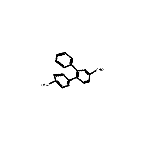 O=Cc1ccc(-c2ccc(C=O)cc2-c2ccccc2)cc1